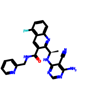 C[C@H](Nc1ncnc(N)c1C#N)c1nc2cccc(F)c2cc1C(=O)NCc1ccccn1